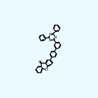 O=c1c2ccccc2oc2ccc(-c3ccc(-c4cccc(-c5nc(-c6ccccc6)nc(-c6ccccc6)n5)c4)cc3)cc12